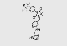 CC1(C)C(=O)N(c2ccc(C3(C(F)(F)F)CC3)cc2)C(=O)N1Cc1ccnc(NCc2nnc[nH]2)c1